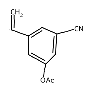 C=[C]c1cc(C#N)cc(OC(C)=O)c1